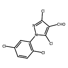 O=Cc1c(Cl)nn(-c2cc(Cl)ccc2Cl)c1Cl